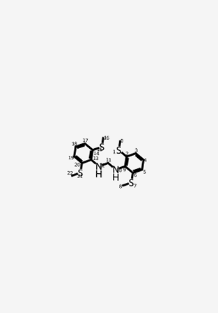 CSc1cccc(SC)c1NCNc1c(SC)cccc1SC